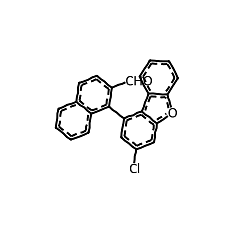 O=Cc1ccc2ccccc2c1-c1cc(Cl)cc2oc3ccccc3c12